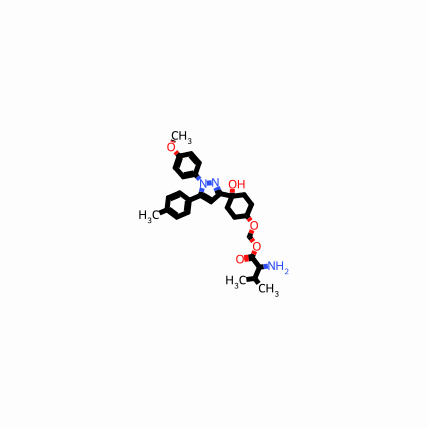 COc1ccc(-n2nc(C3(O)CCC(OCOC(=O)C(N)C(C)C)CC3)cc2-c2ccc(C)cc2)cc1